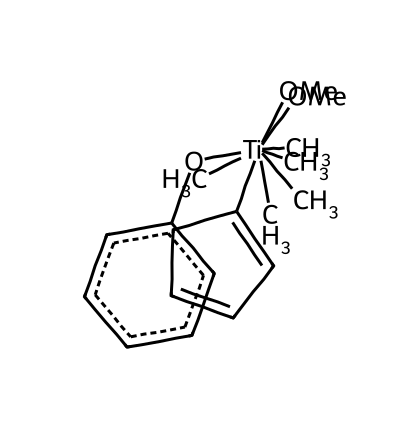 C[O][Ti]([CH3])([CH3])([CH3])([CH3])([CH3])([O]C)([O]c1ccccc1)[C]1=CC=CC1